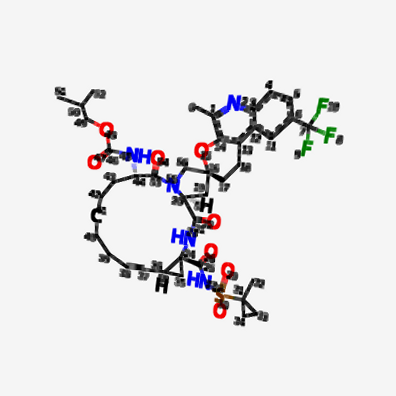 Cc1nc2ccc(C(F)(F)F)cc2c2c1O[C@]1(CC2)C[C@H]2C(=O)N[C@]3(C(=O)NS(=O)(=O)C4(C)CC4)C[C@H]3/C=C\CCCCC[C@H](NC(=O)OCC(C)C)C(=O)N2C1